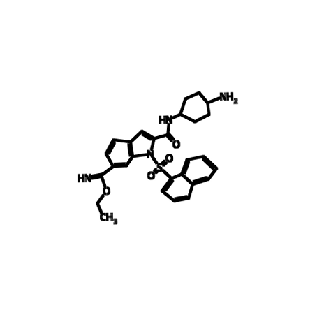 CCOC(=N)c1ccc2cc(C(=O)NC3CCC(N)CC3)n(S(=O)(=O)c3cccc4ccccc34)c2c1